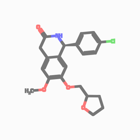 COc1cc2c(cc1OCC1CCCO1)[C@H](c1ccc(Cl)cc1)NC(=O)C2